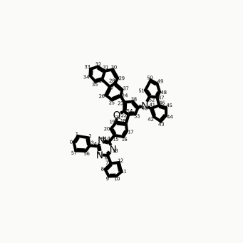 c1ccc(-c2nc(-c3ccccc3)nc(-c3ccc4c(c3)oc3c(-c5ccc6c(ccc7ccccc76)c5)cc(-n5c6ccccc6c6ccccc65)cc34)n2)cc1